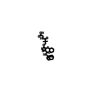 CC(C)(COc1noc(C(=O)NC2C3CC4CC(C3)CC2C4)c1SC1CCCCC1)C(=O)NCC(=O)O